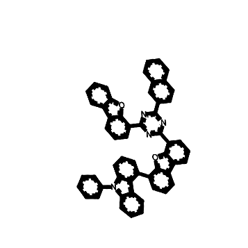 c1ccc(-n2c3ccccc3c3c(-c4cccc5c4oc4c(-c6nc(-c7ccc8ccccc8c7)nc(-c7cccc8c7oc7ccccc78)n6)cccc45)cccc32)cc1